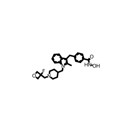 Cc1c(Cc2ccc(C(=O)NO)cc2)c2ccccc2n1CC1CCN(CC2(F)COC2)CC1